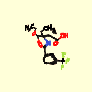 CCOC1OC(c2cccc(C(F)(F)F)c2)=NC1(CC)CC(=O)O